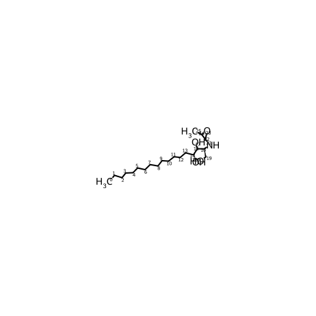 CCCCCCCCCCCCCC[C@@H](O)C(O)[C@H](CO)NC1OC1C